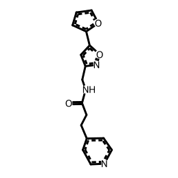 O=C(CCc1ccncc1)NCc1cc(-c2ccco2)on1